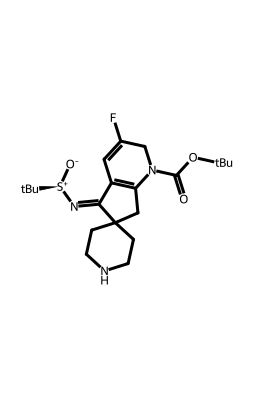 CC(C)(C)OC(=O)N1CC(F)=CC2=C1CC1(CCNCC1)/C2=N/[S@+]([O-])C(C)(C)C